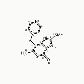 CSc1nc2n(Cc3ccncc3)c(C)cc(=O)n2n1